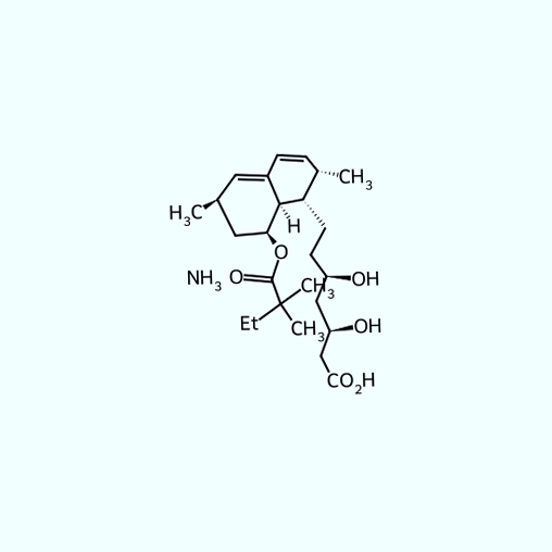 CCC(C)(C)C(=O)O[C@H]1C[C@@H](C)C=C2C=C[C@H](C)[C@H](CC[C@@H](O)C[C@@H](O)CC(=O)O)[C@H]21.N